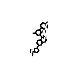 Cc1cc(-c2nccc3cc(C4CCC(F)(F)C4)ccc23)c2oc3nc(C)ccc3c2c1